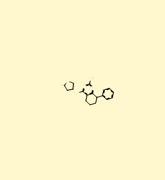 C[C@@H]1C[C@H](Oc2nc(N)nc3c2CCCC3c2ccccc2)CN1